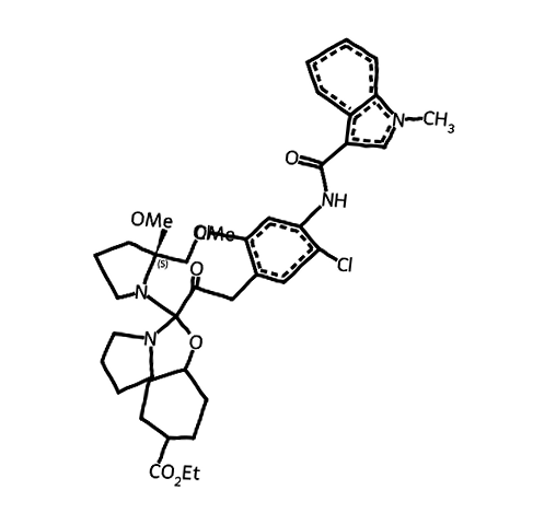 CCOC(=O)C1CCC(OC(C(=O)Cc2cc(Cl)c(NC(=O)c3cn(C)c4ccccc34)cc2Cl)(N2CCCC2)N2CCC[C@@]2(COC)OC)CC1